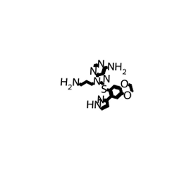 NCCCn1c(Sc2cc3c(cc2-c2cc[nH]n2)OCCO3)nc2c(N)ncnc21